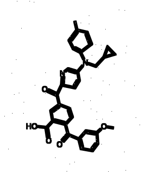 COc1cccc(C(=O)c2ccc(C(=O)c3ccc(N(CC4CC4)c4ccc(C)cc4)cn3)cc2C(=O)O)c1